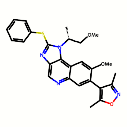 COC[C@@H](C)n1c(Sc2ccccc2)nc2cnc3cc(-c4c(C)noc4C)c(OC)cc3c21